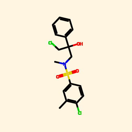 Cc1cc(S(=O)(=O)N(C)CC(O)(CCl)c2ccccc2)ccc1Cl